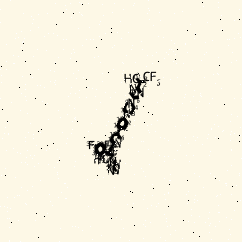 OC(CC(F)(F)F)c1ncc(N2CCN(c3ccc(-c4ccc(C(F)(F)[C@](O)(Cn5cnnn5)c5ccc(F)cc5F)nc4)cc3)CC2)cn1